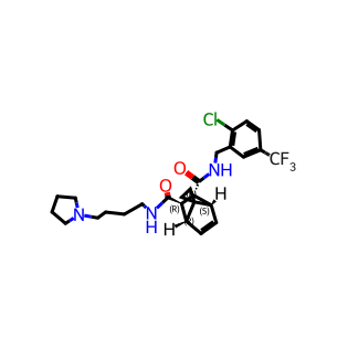 O=C(NCCCCN1CCCC1)[C@H]1[C@H](C(=O)NCc2cc(C(F)(F)F)ccc2Cl)[C@@H]2C=C[C@H]1C21CC1